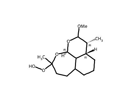 COC1O[C@@H]2OC(C)(OO)CCC3CCC[C@H](C32)[C@H]1C